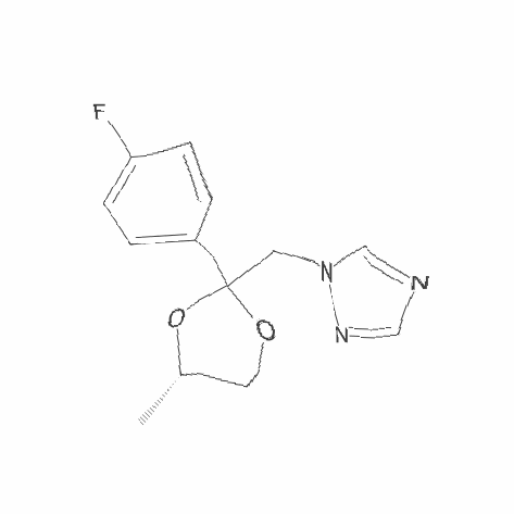 C[C@H]1COC(Cn2cncn2)(c2ccc(F)cc2)O1